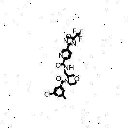 Cc1cc(Cl)cc(C(=O)N2CCOCC2CNC(=O)c2ccc(-c3noc(C(F)(F)F)n3)cn2)c1